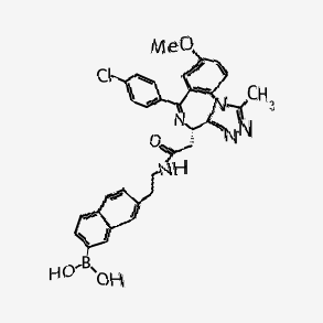 COc1ccc2c(c1)C(c1ccc(Cl)cc1)=N[C@@H](CC(=O)NCCc1ccc3ccc(B(O)O)cc3c1)c1nnc(C)n1-2